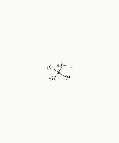 C[SiH2][Si](C(C)(C)C)(C(C)(C)C)C(C)(C)C